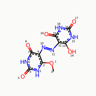 COc1[nH]c(=O)[nH]c(=O)c1N=Nc1c(O)[nH]c(=O)[nH]c1=O